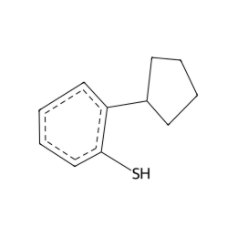 Sc1ccccc1C1CCCC1